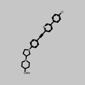 COC1CCN(C2CCN(c3ccc(C#Cc4ccc(-c5ccc(Cl)cc5)cn4)cc3)C2)CC1